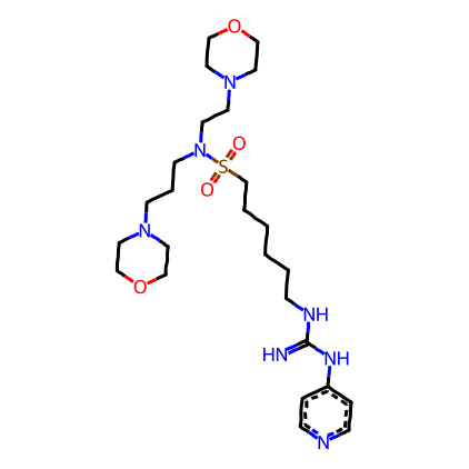 N=C(NCCCCCCS(=O)(=O)N(CCCN1CCOCC1)CCN1CCOCC1)Nc1ccncc1